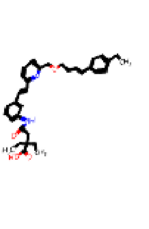 CCc1ccc(CCCCOCc2cccc(C=Cc3cccc(NC(=O)CC(CC)(CC)C(=O)O)c3)n2)cc1